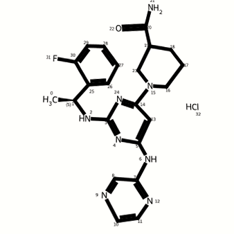 C[C@H](Nc1nc(Nc2cnccn2)cc(N2CCCC(C(N)=O)C2)n1)c1ccccc1F.Cl